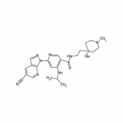 CC(C)Nc1cc(-n2ncc3cc(C#N)cnc32)ncc1C(=O)NCCC1(O)CCN(C)CC1